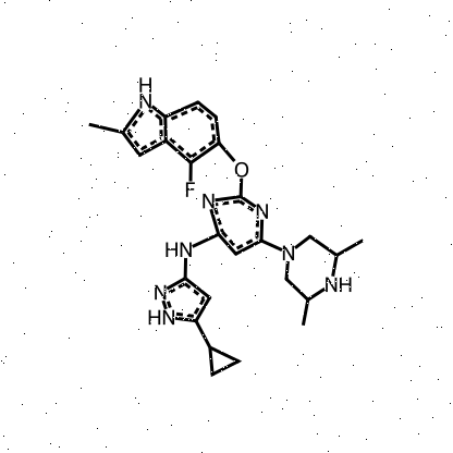 Cc1cc2c(F)c(Oc3nc(Nc4cc(C5CC5)[nH]n4)cc(N4CC(C)NC(C)C4)n3)ccc2[nH]1